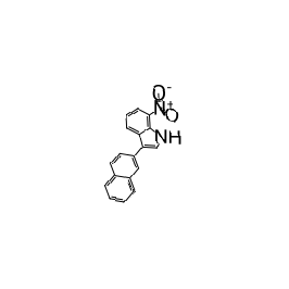 O=[N+]([O-])c1cccc2c(-c3ccc4ccccc4c3)c[nH]c12